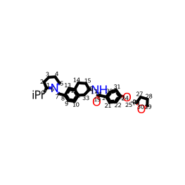 CC(C)C1CCCCN1Cc1ccc2c(c1)CC[C@H](NC(=O)c1ccc(OC[C@@H]3CCCO3)cc1)C2